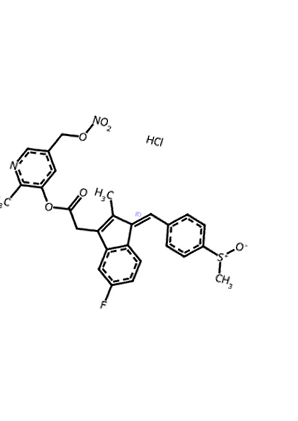 CC1=C(CC(=O)Oc2cc(CO[N+](=O)[O-])cnc2C)c2cc(F)ccc2/C1=C\c1ccc([S+](C)[O-])cc1.Cl